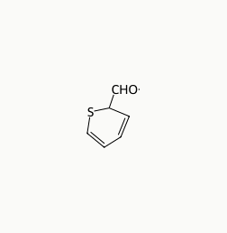 O=[C]C1C=CC=CS1